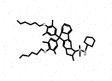 CCCCCCOc1c(C)cc(C2(c3cc(C)c(OCCCCCC)c(C)c3)C3=CC4CC(C)C([Si](C)(C)NC5CCCCC5)C4C=C3c3ccccc32)cc1C